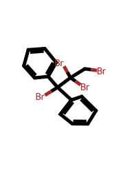 BrCC(Br)(Br)C(Br)(c1ccccc1)c1ccccc1